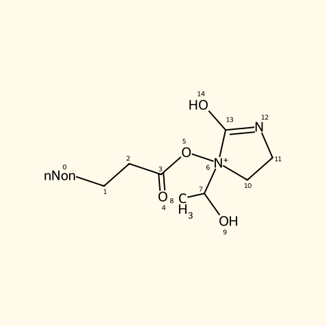 CCCCCCCCCCCC(=O)O[N+]1(C(C)O)CCN=C1O